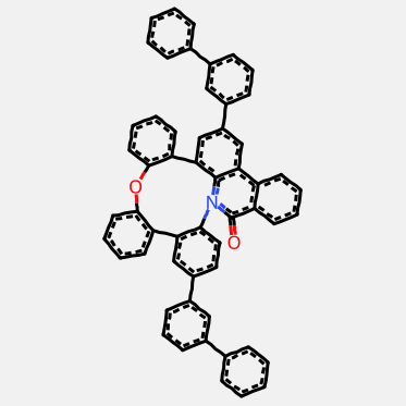 O=c1c2ccccc2c2cc(-c3cccc(-c4ccccc4)c3)cc3c2n1-c1ccc(-c2cccc(-c4ccccc4)c2)cc1-c1ccccc1Oc1ccccc1-3